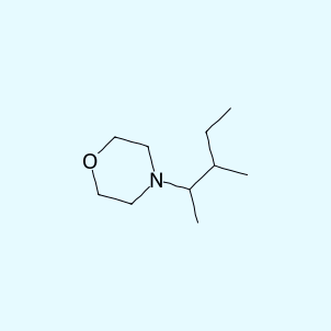 CCC(C)C(C)N1CCOCC1